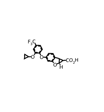 O=C(O)C1C2c3ccc(Oc4ccc(C(F)(F)F)cc4OC4CC4)cc3O[C@@H]12